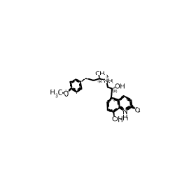 COc1ccc(CC[C@@H](C)NC[C@H](O)c2ccc(O)c3[nH]c(=O)ccc23)cc1